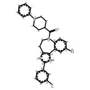 O=C(C1CCN(c2ccccc2)CC1)N1CCc2nc(-c3cccc(F)c3)[nH]c2-c2cc(Cl)ccc21